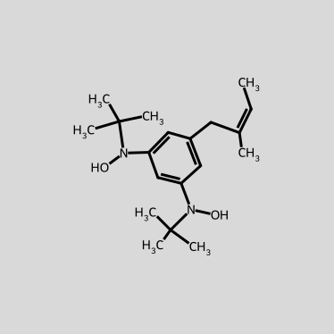 C/C=C(/C)Cc1cc(N(O)C(C)(C)C)cc(N(O)C(C)(C)C)c1